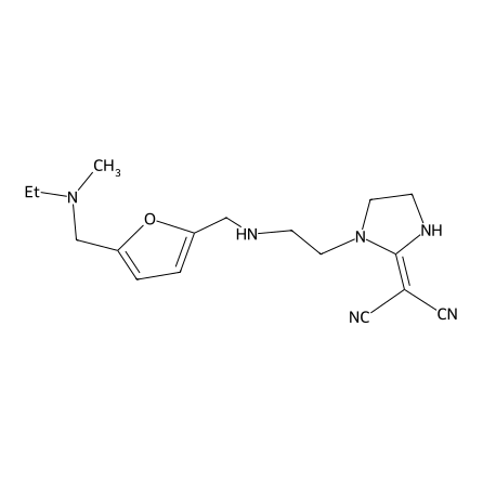 CCN(C)Cc1ccc(CNCCN2CCNC2=C(C#N)C#N)o1